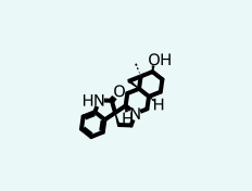 C[C@@]12C[C@@]13C[C@@H]1N(CC[C@@]14C(=O)Nc1ccccc14)C[C@@H]3CC[C@@H]2O